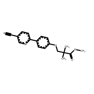 COC(=O)C(C)(C)COc1ccc(-c2ccc(C#N)cn2)cc1